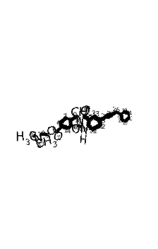 CC(c1ccc(C(=O)OCCN(C)C)cc1)n1c(=O)[nH]c2ccc(C#CCc3ccccc3)cc2c1=O